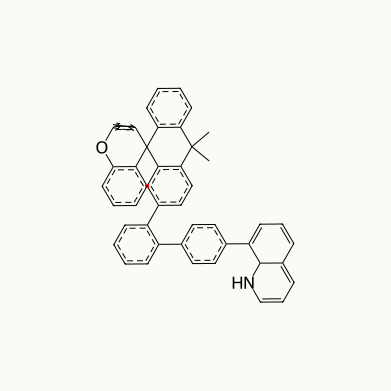 CC1(C)c2ccccc2C2(c3ccccc3Oc3ccccc32)c2cc(-c3ccccc3-c3ccc(C4=CC=CC5=CC=CNC54)cc3)ccc21